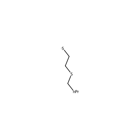 CCCCSCC[S]